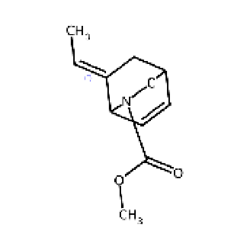 C/C=C1\CC2C=CC1N(C(=O)OC)C2